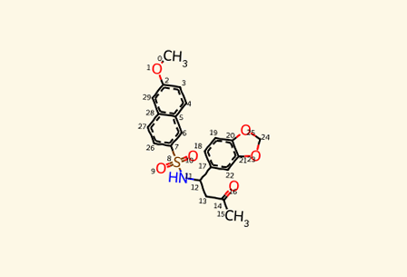 COc1ccc2cc(S(=O)(=O)NC(CC(C)=O)c3ccc4c(c3)OCO4)ccc2c1